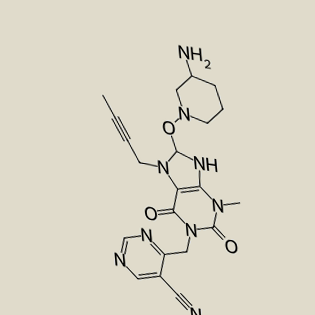 CC#CCN1c2c(n(C)c(=O)n(Cc3ncncc3C#N)c2=O)NC1ON1CCCC(N)C1